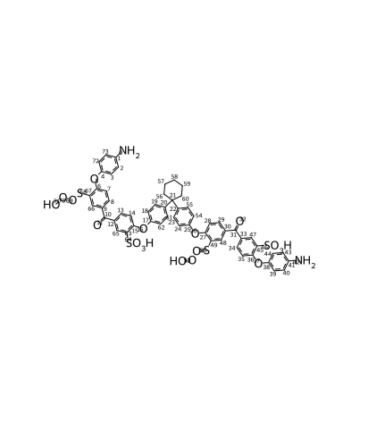 Nc1ccc(Oc2ccc(C(=O)c3ccc(Oc4ccc(C5(c6ccc(Oc7ccc(C(=O)c8ccc(Oc9ccc(N)cc9)c(S(=O)(=O)O)c8)cc7SOOO)cc6)CCCCC5)cc4)c(S(=O)(=O)O)c3)cc2SOOO)cc1